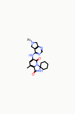 CC(=O)N1Cc2ncnc(Nc3cc(C)c4n(c3=O)C3(CCCCC3)NC4=O)c2C1